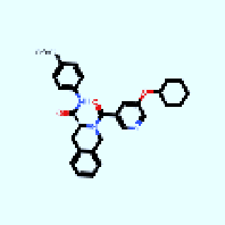 CCCCCc1ccc(NC(=O)[C@@H]2Cc3ccccc3CN2C(=O)c2cncc(OC3CCCCC3)c2)cc1